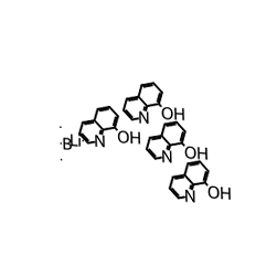 Oc1cccc2cccnc12.Oc1cccc2cccnc12.Oc1cccc2cccnc12.Oc1cccc2cccnc12.[B].[Li]